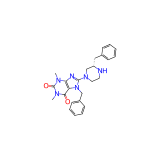 Cn1c(=O)c2c(nc(N3CCN[C@@H](Cc4ccccc4)C3)n2Cc2ccccc2)n(C)c1=O